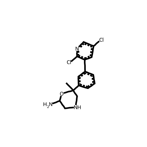 CC1(c2cccc(-c3cc(Cl)cnc3Cl)c2)CNCC(N)O1